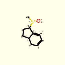 C[S+]([O-])C1CCC2CC=CC=C21